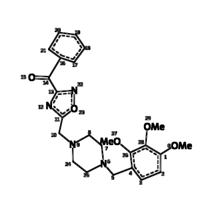 COc1ccc(CN2CCN(Cc3nc(C(=O)c4ccccc4)no3)CC2)c(OC)c1OC